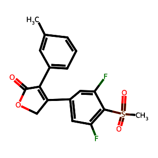 Cc1cccc(C2=C(c3cc(F)c(S(C)(=O)=O)c(F)c3)COC2=O)c1